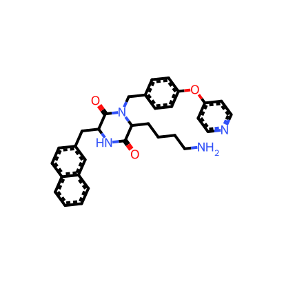 NCCCCC1C(=O)NC(Cc2ccc3ccccc3c2)C(=O)N1Cc1ccc(Oc2ccncc2)cc1